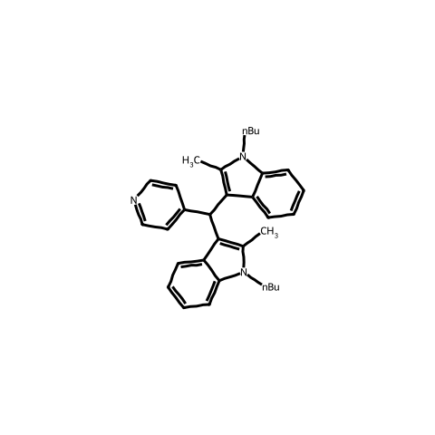 CCCCn1c(C)c(C(c2ccncc2)c2c(C)n(CCCC)c3ccccc23)c2ccccc21